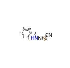 N#C[S][Ni][NH]Cc1ccccc1